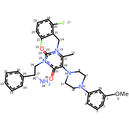 COc1cccc(N2CCN(c3c(C)n(Cc4c(F)cccc4F)c(=O)n(C[C@H](N)c4ccccc4)c3=O)CC2)c1